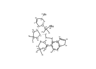 Cc1cc2c(c(CCC[C@@H]3OC(C)(C)O[C@@H]3C(/C=C\[C@@H](C)C(C)C)O[Si](C)(C)C(C)(C)C)c1C(=O)OCC[Si](C)(C)C)N=CC2